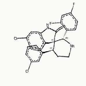 O=C1Nc2cc(Cl)ccc2[C@@]12[C@H](c1cccc(Cl)c1)CCN[C@H]2c1ccc(F)cc1F